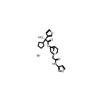 O=C(C[N+]12CCC(CC1)C(OC(=O)[C@](O)(c1ccoc1)C1CCCC1)C2)Nc1ccon1.[Br-]